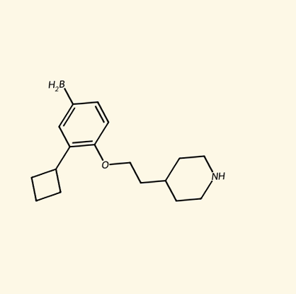 Bc1ccc(OCCC2CCNCC2)c(C2CCC2)c1